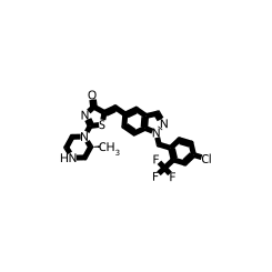 C[C@@H]1CNCCN1C1=NC(=O)/C(=C/c2ccc3c(cnn3Cc3ccc(Cl)cc3C(F)(F)F)c2)S1